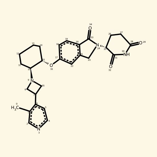 Cc1cnccc1C1CN([C@H]2CCCC[C@@H]2Oc2ccc3c(c2)CN([C@@H]2CCC(=O)NC2=O)C3=O)C1